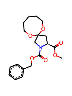 COC(=O)[C@@H]1CC2(CN1C(=O)OCc1ccccc1)OCCCCCO2